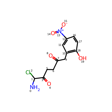 NC(Cl)C(=O)CCC(=O)Cc1cc([N+](=O)[O-])ccc1O